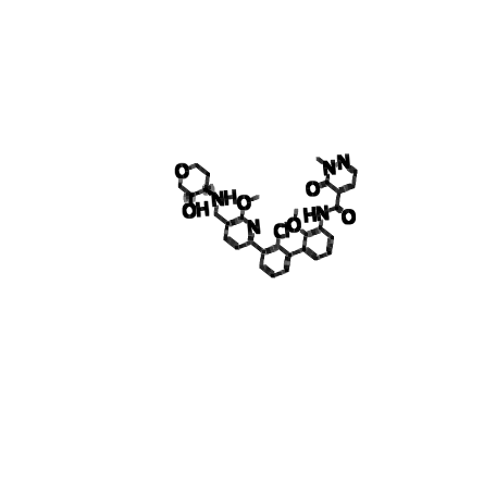 COc1nc(-c2cccc(-c3cccc(NC(=O)c4ccnn(C)c4=O)c3OC)c2Cl)ccc1CN[C@@H]1CCOC[C@@H]1O